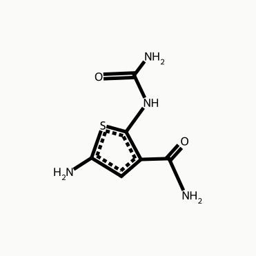 NC(=O)Nc1sc(N)cc1C(N)=O